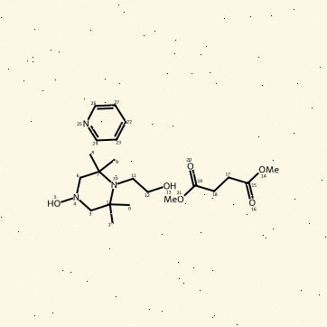 CC1(C)CN(O)CC(C)(C)N1CCO.COC(=O)CCC(=O)OC.c1ccncc1